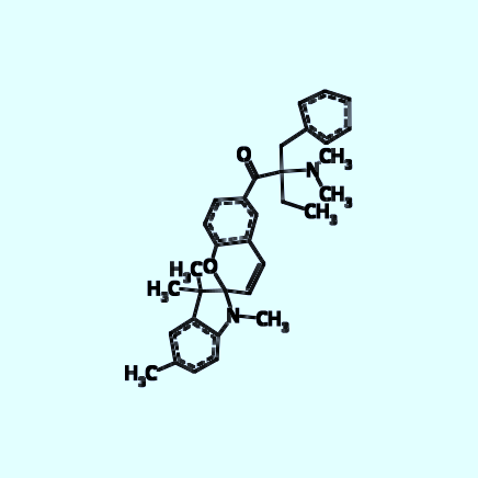 CCC(Cc1ccccc1)(C(=O)c1ccc2c(c1)C=CC1(O2)N(C)c2ccc(C)cc2C1(C)C)N(C)C